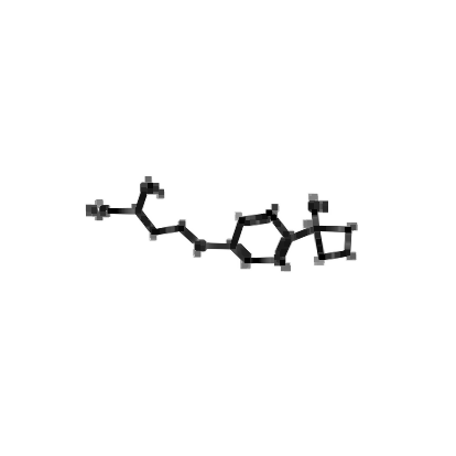 CC(C)CCOc1cnc(C2(O)CCC2)nc1